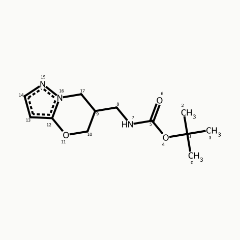 CC(C)(C)OC(=O)NCC1COc2ccnn2C1